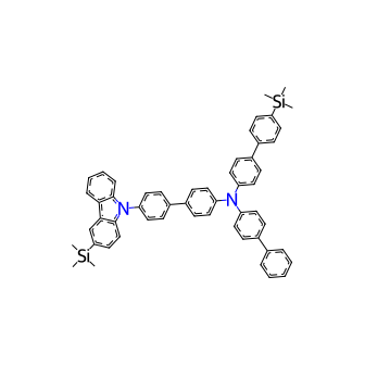 C[Si](C)(C)c1ccc(-c2ccc(N(c3ccc(-c4ccccc4)cc3)c3ccc(-c4ccc(-n5c6ccccc6c6cc([Si](C)(C)C)ccc65)cc4)cc3)cc2)cc1